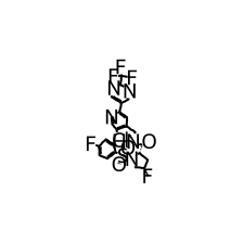 O=C(NCc1cc(-c2cnc(C(F)(F)F)nc2)ncc1Cl)[C@@H]1C[C@@H](F)CN1S(=O)(=O)c1ccc(F)cc1